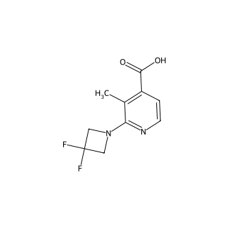 Cc1c(C(=O)O)ccnc1N1CC(F)(F)C1